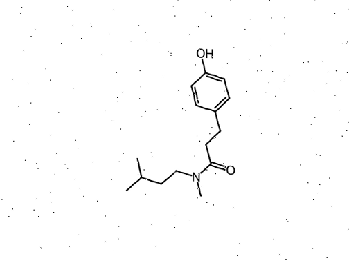 CC(C)CCN(C)C(=O)CCc1ccc(O)cc1